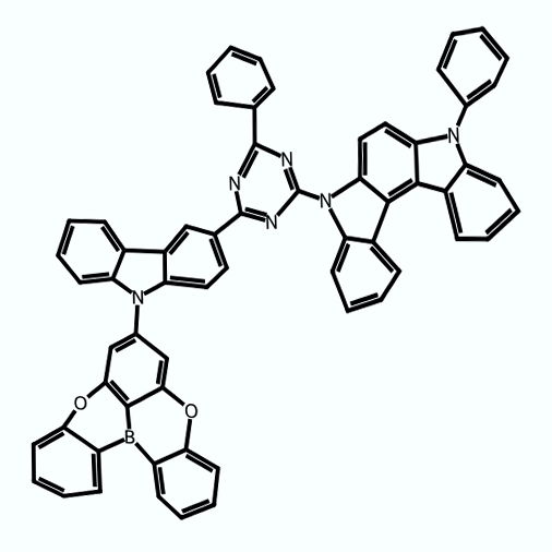 c1ccc(-c2nc(-c3ccc4c(c3)c3ccccc3n4-c3cc4c5c(c3)Oc3ccccc3B5c3ccccc3O4)nc(-n3c4ccccc4c4c5c6ccccc6n(-c6ccccc6)c5ccc43)n2)cc1